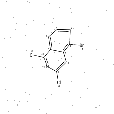 Clc1cc2c(Br)cccc2c(Cl)n1